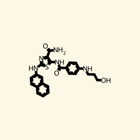 NC(=O)c1nc(Nc2ccc3ccccc3c2)sc1NC(=O)c1ccc(NCCCO)cc1